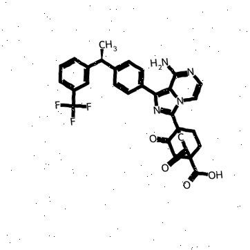 C[C@@H](c1ccc(-c2nc(C34CCC(C(=O)O)(CC3=O)C(=O)C4)n3ccnc(N)c23)cc1)c1cccc(C(F)(F)F)c1